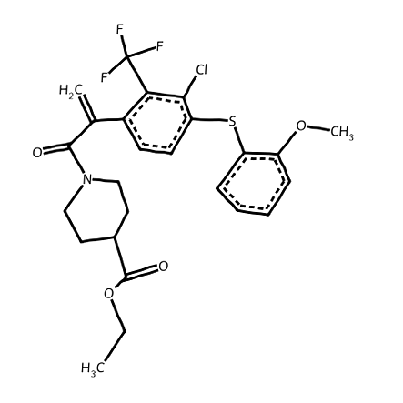 C=C(C(=O)N1CCC(C(=O)OCC)CC1)c1ccc(Sc2ccccc2OC)c(Cl)c1C(F)(F)F